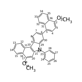 COc1ccc(-c2ccc3c4c5ccccc5c(OC)cc4n(-c4ccccc4)c3c2)c2ccccc12